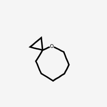 C1CCCC2(CC2)OCC1